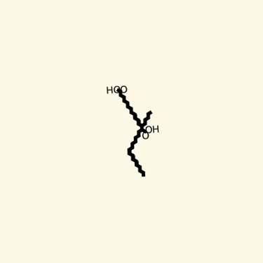 CCCC/C=C/C=C/C=C\CCCCCCC(C(=O)O)C(C=CC=CCCCCCCCC(=O)O)CCCCC